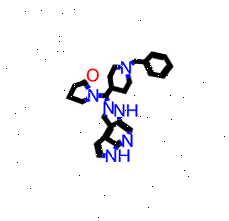 O=C1CCCN1C(C1CCN(Cc2ccccc2)CC1)N1Cc2c(cnc3[nH]ccc23)N1